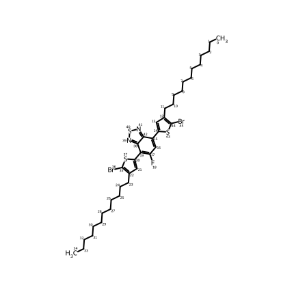 CCCCCCCCCCCCc1cc(-c2cc(F)c(-c3cc(CCCCCCCCCCCC)c(Br)s3)c3nsnc23)sc1Br